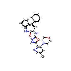 N#Cc1cnc(-c2nnc(N[C@H]3C=C(c4ccccc4)c4ccccc4NC3=O)o2)c(N2CCOCC2)c1